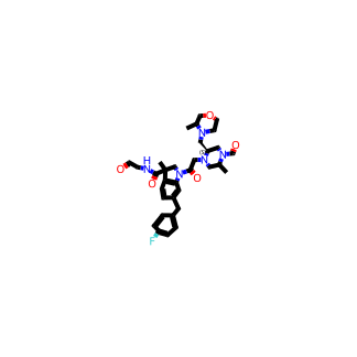 CC1CN(CC(=O)N2CC(C)(C(=O)NCC=O)c3ccc(Cc4ccc(F)cc4)cc32)[C@@H](CN2CCOCC2C)CN1C=O